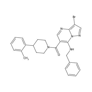 Cc1ccccc1C1CCN(C(=O)c2cnc3c(Br)cnn3c2NCc2ccccc2)CC1